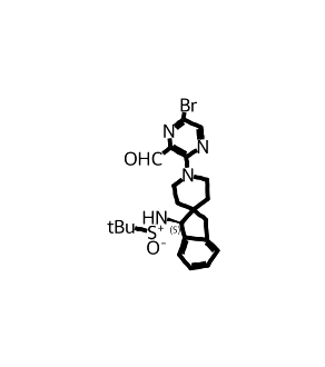 CC(C)(C)[S+]([O-])N[C@@H]1c2ccccc2CC12CCN(c1ncc(Br)nc1C=O)CC2